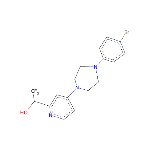 OC(c1cc(N2CCN(c3ccc(Br)cc3)CC2)ccn1)C(F)(F)F